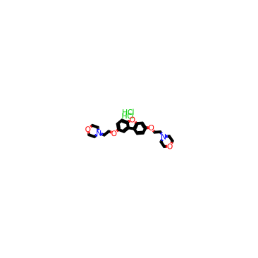 Cl.Cl.c1cc2c(cc1OCCN1CCOCC1)oc1ccc(OCCN3CCOCC3)cc12